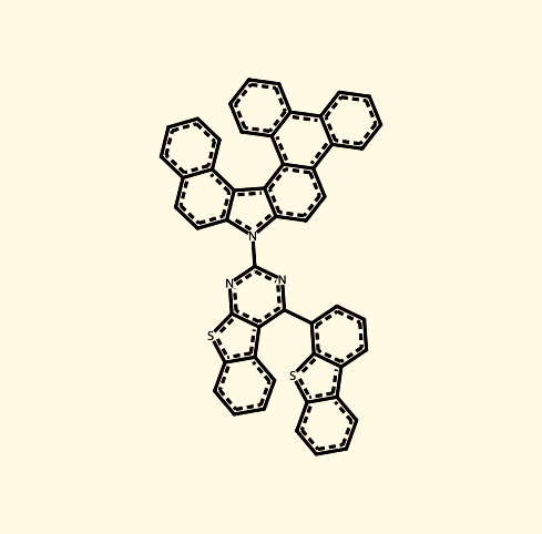 c1ccc2c(c1)ccc1c2c2c3c4ccccc4c4ccccc4c3ccc2n1-c1nc(-c2cccc3c2sc2ccccc23)c2c(n1)sc1ccccc12